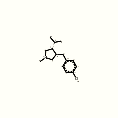 CC(C)[C@H]1CN(C)C[C@@H]1Cc1ccc(Cl)cc1